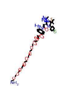 Cc1sc2c(c1C)C(c1ccc(Cl)cc1)=N[C@@H](CC(=O)Nc1ccc(OCCOCCOCCOCCOCCOCCOCCOCCOCCOCCN)cc1)c1nnc(C)n1-2